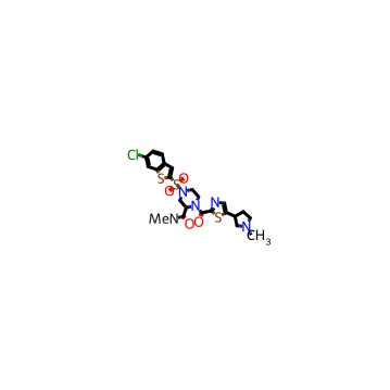 CNC(=O)C1CN(S(=O)(=O)c2cc3ccc(Cl)cc3s2)CCN1C(=O)c1ncc(C2CCN(C)C2)s1